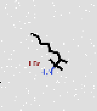 Br.CCCCCCC(C)C(C)(C)N